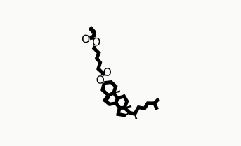 C=CC(=O)OCCCCCC(=O)OC1CC[C@@]2(C)C(=CCC3C2CC[C@@]2(C)C3CC[C@@H]2[C@H](C)CCCC(C)C)C1